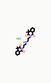 CC1(C)C(=O)N(CCCNCCCN2C(=O)c3ccccc3C(C)(C)C2=O)C(=O)c2ccccc21.Cl